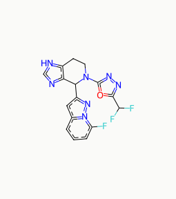 Fc1cccc2cc(C3c4nc[nH]c4CCN3c3nnc(C(F)F)o3)nn12